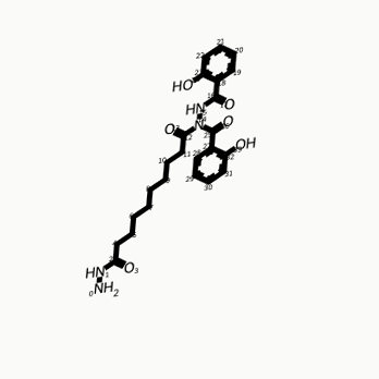 NNC(=O)CCCCCCCCC(=O)N(NC(=O)c1ccccc1O)C(=O)c1ccccc1O